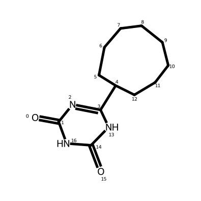 O=c1nc(C2CCCCCCCC2)[nH]c(=O)[nH]1